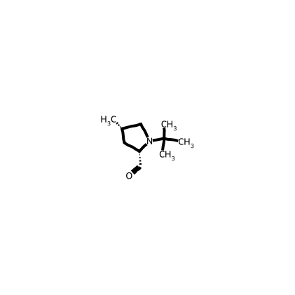 C[C@H]1C[C@@H](C=O)N(C(C)(C)C)C1